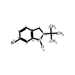 CC(C)(C)N1Cc2ccc(Br)cc2[S+]1[O-]